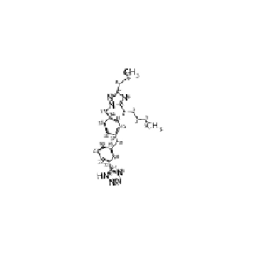 CCCCCc1nc(CCC)nn1Cc1ccc(Cc2cccc(-c3nnn[nH]3)c2)cc1